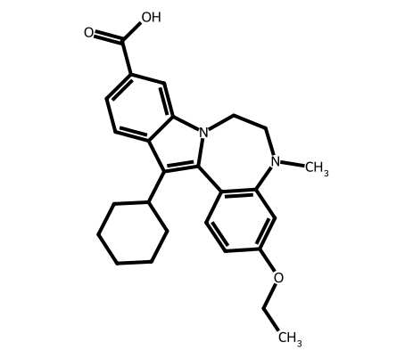 CCOc1ccc2c(c1)N(C)CCn1c-2c(C2CCCCC2)c2ccc(C(=O)O)cc21